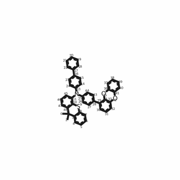 CC1(C)c2ccccc2Sc2c(N(c3ccc(-c4ccccc4)cc3)c3ccc(-c4cccc5c4Oc4ccccc4O5)cc3)cccc21